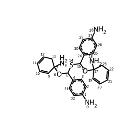 Nc1ccc(C(OC2(N)C=CC=CC2)SC(OC2(N)C=CC=CC2)c2ccc(N)cc2)cc1